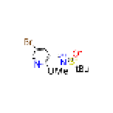 COc1ncc(Br)cc1/C=N/[S@+]([O-])C(C)(C)C